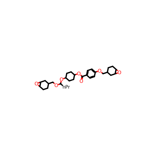 CCCC(OCC1CCC2OC2C1)OC1CCC(OC(=O)c2ccc(OCC3CCC4OC4C3)cc2)CC1